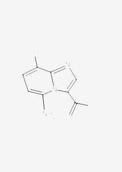 Nc1ccc(I)c2ncc(C(=O)O)n12